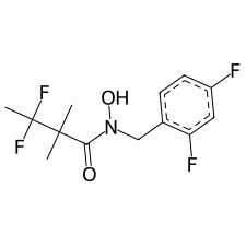 CC(F)(F)C(C)(C)C(=O)N(O)Cc1ccc(F)cc1F